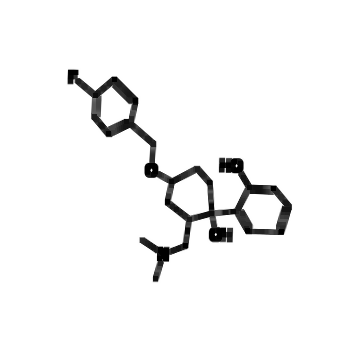 CN(C)CC1CC(OCc2ccc(F)cc2)CCC1(O)c1ccccc1O